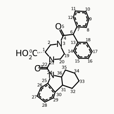 O=C(O)[C@@H]1CN(C(=O)C(c2ccccc2)c2ccccc2)CCN1C(=O)N1c2ccccc2C2CCCCC21